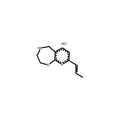 CC=Cc1ccc2c(n1)OCCNC2.Cl